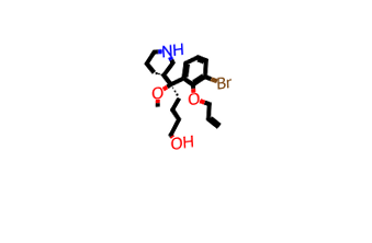 C=CCOc1c(Br)cccc1[C@@](CCCCO)(OC)[C@@H]1CCCNC1